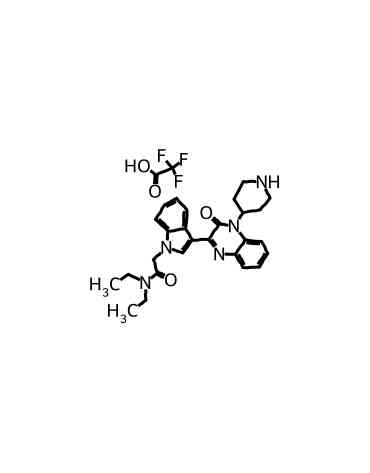 CCN(CC)C(=O)Cn1cc(-c2nc3ccccc3n(C3CCNCC3)c2=O)c2ccccc21.O=C(O)C(F)(F)F